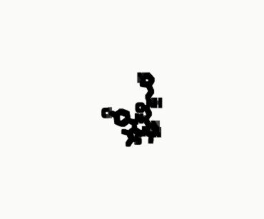 Cc1sc2c(c1C)C(c1ccc(Cl)cc1)=N[C@@H](CC(=O)NCCC1=CN=CC1)c1nnc(C)n1-2